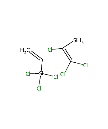 C=C[Si](Cl)(Cl)Cl.[SiH3]C(Cl)=C(Cl)Cl